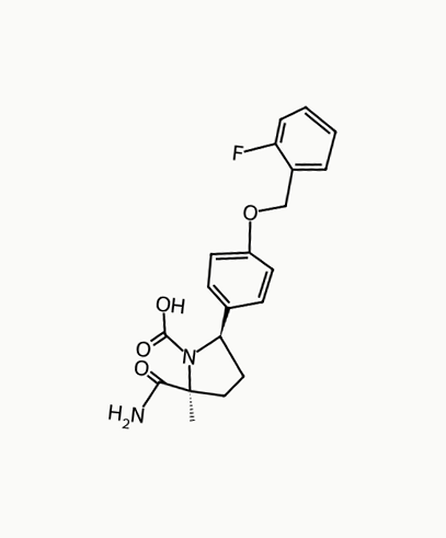 C[C@@]1(C(N)=O)CC[C@H](c2ccc(OCc3ccccc3F)cc2)N1C(=O)O